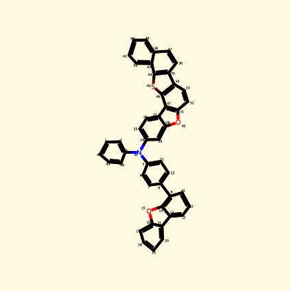 c1ccc(N(c2ccc(-c3cccc4c3oc3ccccc34)cc2)c2ccc3c(c2)oc2ccc4c5ccc6ccccc6c5sc4c23)cc1